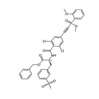 COc1ccccc1P(=O)(C#Cc1cc(Cl)c(C(=O)N[C@@H](Cc2cccc(S(C)(=O)=O)c2)C(=O)OCc2ccccc2)c(Cl)c1)OC